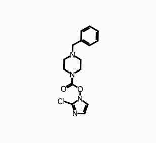 O=C(On1ccnc1Cl)N1CCN(Cc2ccccc2)CC1